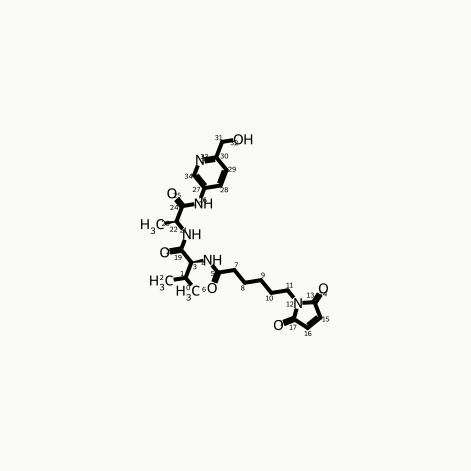 CC(C)[C@H](NC(=O)CCCCCN1C(=O)C=CC1=O)C(=O)N[C@@H](C)C(=O)Nc1ccc(CO)nc1